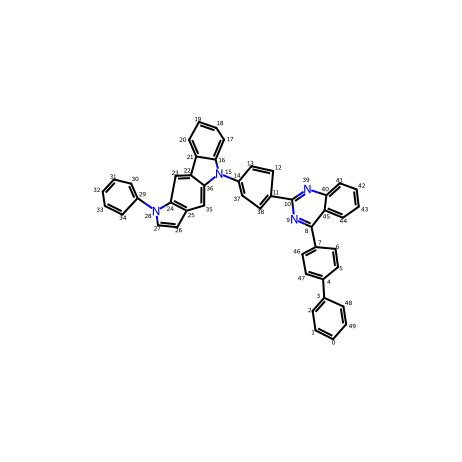 c1ccc(-c2ccc(-c3nc(-c4ccc(-n5c6ccccc6c6cc7c(ccn7-c7ccccc7)cc65)cc4)nc4ccccc34)cc2)cc1